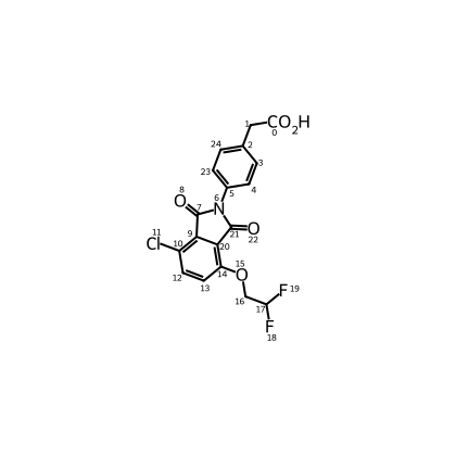 O=C(O)Cc1ccc(N2C(=O)c3c(Cl)ccc(OCC(F)F)c3C2=O)cc1